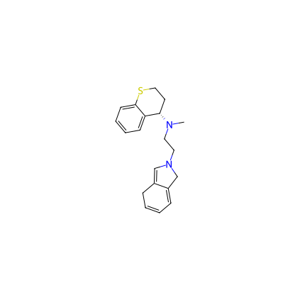 CN(CCN1C=C2CC=CC=C2C1)[C@H]1CCSc2ccccc21